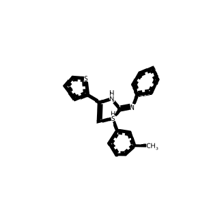 Cc1cccc([SH]2C=C(c3cccs3)NC2=Nc2ccccc2)c1